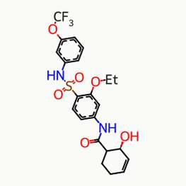 CCOc1cc(NC(=O)C2CCC=C[C@@H]2O)ccc1S(=O)(=O)Nc1cccc(OC(F)(F)F)c1